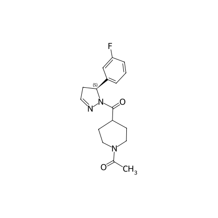 CC(=O)N1CCC(C(=O)N2N=CC[C@H]2c2cccc(F)c2)CC1